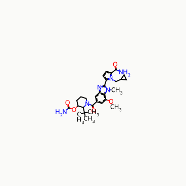 COc1cc(C(=O)N2CCCC(OC(N)=O)C2C(C)(C)C)cc2nc(-c3ccc(C(N)=O)n3CC3CC3)n(C)c12